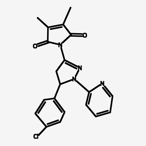 CC1=C(C)C(=O)N(C2=NN(c3ccccn3)C(c3ccc(Cl)cc3)C2)C1=O